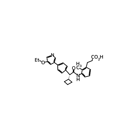 CCOc1cncc(-c2ccc([C@H](C(=O)Nc3cccc(CCC(=O)O)c3C)C3CCC3)cc2)c1